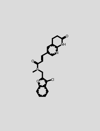 CN(Cc1oc2ccccc2c1Cl)C(=O)/C=C/c1cnc2c(c1)CCC(=O)N2